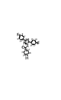 O=C(Cn1nc(-c2ccc(F)cc2)nc1-c1ccc(F)cc1)N1CCNCC1